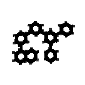 c1ccc(-c2nc(-c3ccccc3)nc(-c3cccc(-c4cccc(-c5nccc6ccccc56)c4)c3)n2)cc1